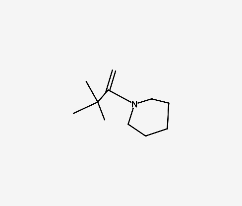 C=C(N1CCCCC1)C(C)(C)C